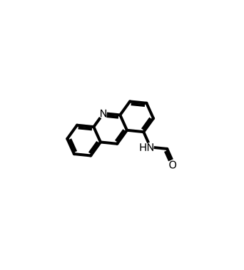 O=CNc1cccc2nc3ccccc3cc12